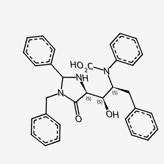 O=C1[C@H]([C@H](O)[C@H](Cc2ccccc2)N(C(=O)O)c2ccccc2)NC(c2ccccc2)N1Cc1ccccc1